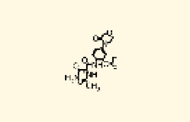 CC(=O)N[C@@H](C(N)=O)C(=O)Nc1ccc(N2CCOCC2=O)cc1OC(F)F